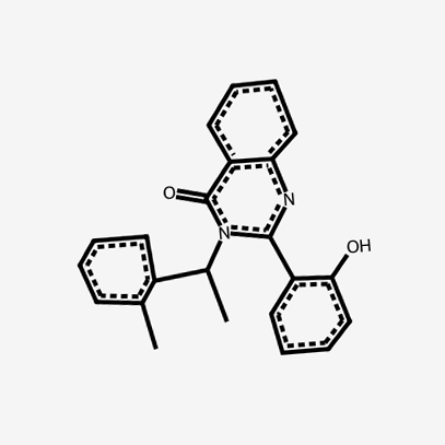 Cc1ccccc1C(C)n1c(-c2ccccc2O)nc2ccccc2c1=O